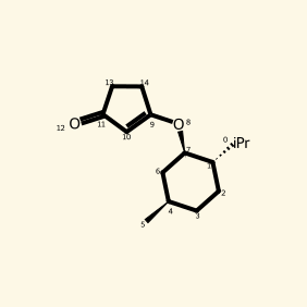 CC(C)[C@@H]1CC[C@@H](C)C[C@H]1OC1=CC(=O)CC1